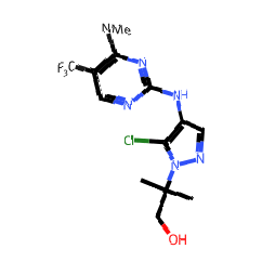 CNc1nc(Nc2cnn(C(C)(C)CO)c2Cl)ncc1C(F)(F)F